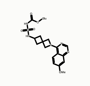 COc1ccc2c(N3CC4(CC(NS(=O)(=O)NC(=O)OC(C)(C)C)C4)C3)ncnc2c1